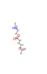 CCNCCOC(=O)CCCOC(C)C